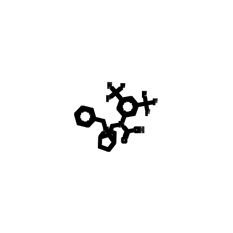 O=C(O)N(CC1C2CCC1N(Cc1ccccc1)C2)c1cc(C(F)(F)F)cc(C(F)(F)F)c1